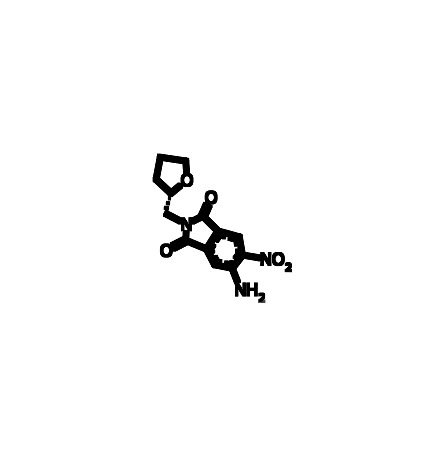 Nc1cc2c(cc1[N+](=O)[O-])C(=O)N(C[C@@H]1CCCO1)C2=O